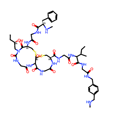 CCC(C)C(NC(=O)CNC(=O)[C@@H]1CS[C@@]2(O)SC[C@H](NC(=O)CNC(=O)[C@H](Cc3ccccc3)NC)C(=O)N(C[C@H](O)CC)C(=O)NCC(=O)NC2C(=O)NCC(=O)N1)C(=O)NCC(=O)NCc1ccc(CNC)cc1